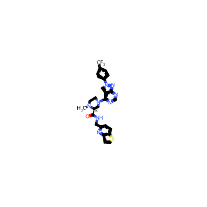 CN1CCN(c2ncnc3nn(-c4ccc(C(F)(F)F)cc4)cc23)C[C@H]1C(=O)NCc1ccc2sccc2n1